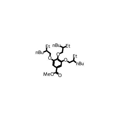 CCCCC(CC)COc1cc(C(=O)OC)cc(OCC(CC)CCCC)c1OCC(CC)CCCC